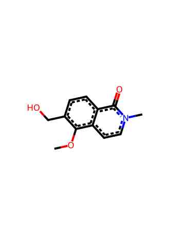 COc1c(CO)ccc2c(=O)n(C)ccc12